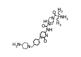 CC(C)(N)C(=O)N1C[C@@H]2CC1CN2C(=O)Nc1ccn(-c2ccc(CN3CCC(N)CC3)cc2)c(=O)n1